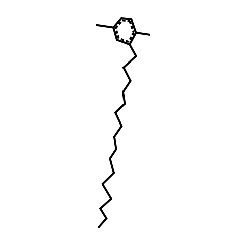 CCCCCCCCCCCCCCCCc1cc(C)ccc1C